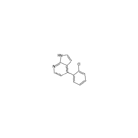 Clc1ccccc1-c1ccnc2[nH]ccc12